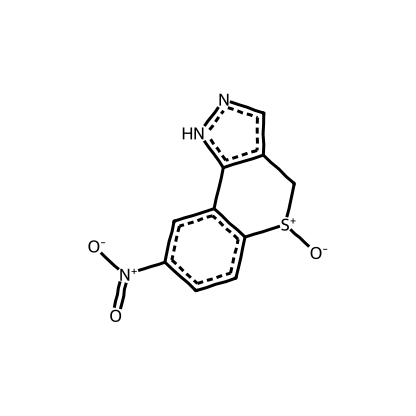 O=[N+]([O-])c1ccc2c(c1)-c1[nH]ncc1C[S+]2[O-]